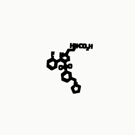 O=C(O)NCCc1nc(-c2ccccc2F)c(S(=O)(=O)c2cccc(CN3CCCC3)c2)s1